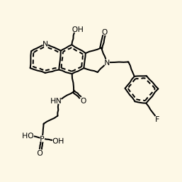 O=C(NCCP(=O)(O)O)c1c2c(c(O)c3ncccc13)C(=O)N(Cc1ccc(F)cc1)C2